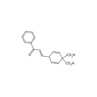 O=C(/C=C/C1C=CC(C(=O)O)(C(=O)O)C=C1)c1ccccc1